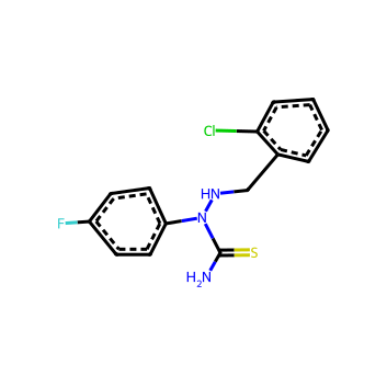 NC(=S)N(NCc1ccccc1Cl)c1ccc(F)cc1